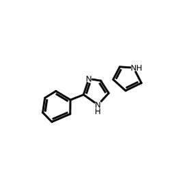 c1cc[nH]c1.c1ccc(-c2ncc[nH]2)cc1